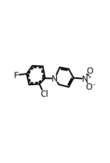 O=[N+]([O-])C1=CCN(c2ccc(F)cc2Cl)C=C1